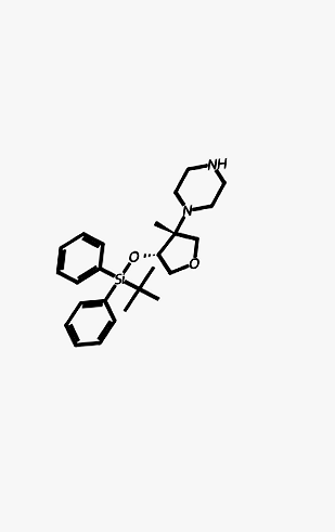 CC(C)(C)[Si](O[C@H]1COC[C@@]1(C)N1CCNCC1)(c1ccccc1)c1ccccc1